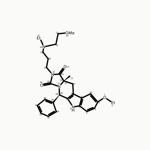 CCOc1ccc2[nH]c3c(c2c1)C[C@@]1(C)C(=O)N(CCCN(CC)CCOC)C(=O)N1[C@@H]3c1ccccc1